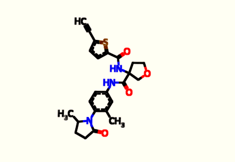 C#Cc1ccc(C(=O)NC2(C(=O)Nc3ccc(N4C(=O)CCC4C)c(C)c3)CCOC2)s1